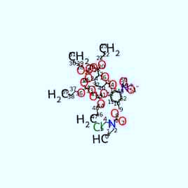 C#CCN(CCl)C(=O)OCc1ccc(O[C@@H]2O[C@H](C(=O)OCC=C)[C@@H](OC(=O)OCC=C)[C@H](OC(=O)OCC=C)[C@H]2OC(=O)OCC=C)c([N+](=O)[O-])c1